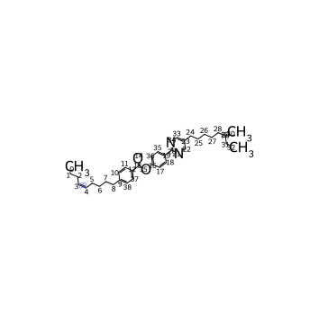 CCC/C=C\CCCCc1ccc(C(=O)Oc2ccc(-c3ncc(CCCCC[C@@H](C)CC)cn3)cc2)cc1